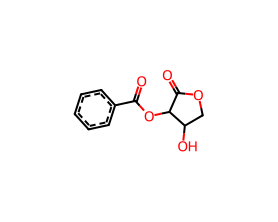 O=C(OC1C(=O)OCC1O)c1ccccc1